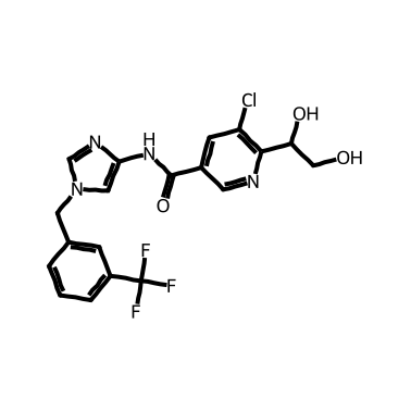 O=C(Nc1cn(Cc2cccc(C(F)(F)F)c2)cn1)c1cnc(C(O)CO)c(Cl)c1